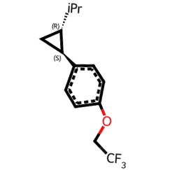 CC(C)[C@H]1C[C@@H]1c1ccc(OCC(F)(F)F)cc1